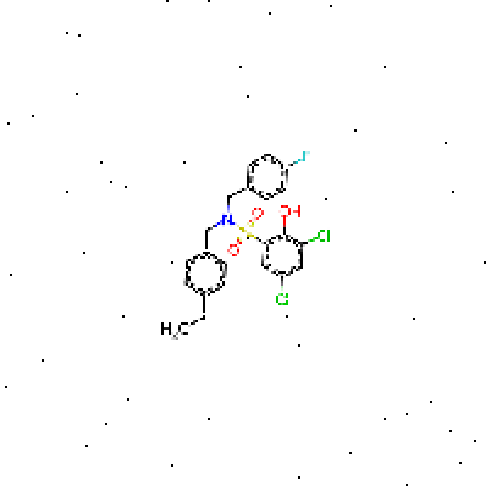 CCc1ccc(CN(Cc2ccc(F)cc2)S(=O)(=O)c2cc(Cl)cc(Cl)c2O)cc1